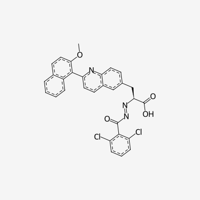 COc1ccc2ccccc2c1-c1ccc2cc(C[C@H](/N=N/C(=O)c3c(Cl)cccc3Cl)C(=O)O)ccc2n1